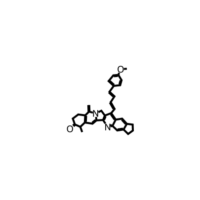 C=C1C2=C(C=C3c4nc5cc6c(cc5c(/C=C/C=C/c5ccc(OC)cc5)c4CN13)CCC6)C(C)C(=O)CC2